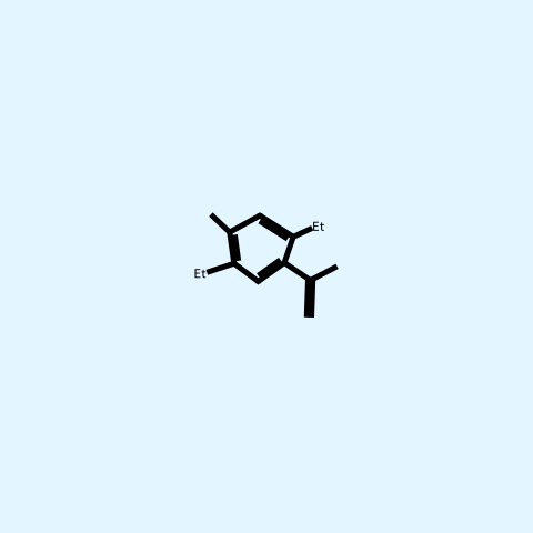 C=C(C)c1cc(CC)c(C)cc1CC